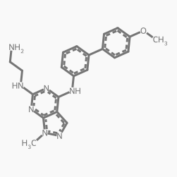 COc1ccc(-c2cccc(Nc3nc(NCCN)nc4c3cnn4C)c2)cc1